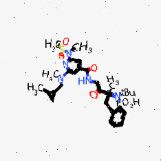 CC1CC1CN(C)c1cc(C(=O)NCC(=O)[C@@](C)(Cc2ccccc2)N(C(=O)O)C(C)(C)C)cc(N(C)S(C)(=O)=O)n1